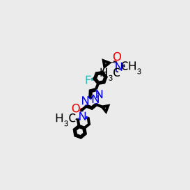 C[C@@H]1c2ccccc2CCN1C(=O)c1cc(C2CC2)n2nc(-c3ccc([C@H]4C[C@@H]4C(=O)N(C)C)cc3F)cc2n1